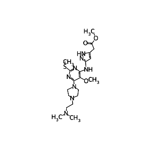 COC(=O)Cc1cc(Nc2nc(SC)nc(N3CCN(CCN(C)C)CC3)c2OC)n[nH]1